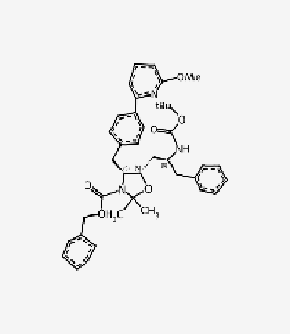 COc1cccc(-c2ccc(C[C@H]3[C@H](C[C@H](Cc4ccccc4)NC(=O)OC(C)(C)C)OC(C)(C)N3C(=O)OCc3ccccc3)cc2)n1